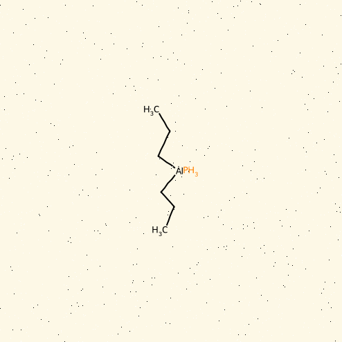 CC[CH2][Al][CH2]CC.P